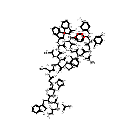 C[C@H](NC(=O)[C@@H](NC(=O)CNC(=O)[C@H](Cc1cnc[nH]1)NC(=O)[C@H](Cc1c[nH]c2ccccc12)NC(=O)[C@H](CC(N)=O)NC(=O)CN)[C@@H](C)O)C(=O)N1CCC[C@H]1C(=O)N[C@@H](CC(=O)O)C(=O)N[C@@H](Cc1c[nH]c2ccccc12)C(=O)N[C@@H](Cc1ccccc1)C(=O)N[C@@H](Cc1ccccc1)C(=O)N[C@@H](CC(N)=O)C(=O)N[C@@H](Cc1ccc(O)cc1)C(=O)N[C@@H](Cc1ccc(O)cc1)C(=O)N[C@@H](Cc1c[nH]c2ccccc12)C(=O)O